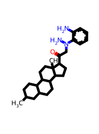 CC1CCC2C(CCC3C2CCC2(C)C(C(=O)CN(N)c4ccccc4N)CCC32)C1